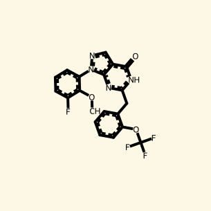 COc1c(F)cccc1-n1ncc2c(=O)[nH]c(Cc3ccccc3OC(F)(F)F)nc21